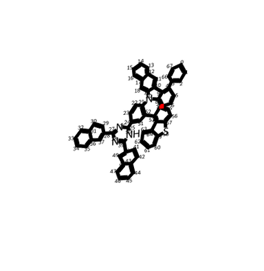 c1ccc(-c2cccc3c2c2cc4ccccc4cc2n3-c2ccc(C3N=C(c4ccc5ccccc5c4)N=C(c4ccc5ccccc5c4)N3)cc2-c2cccc3sc4ccccc4c23)cc1